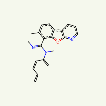 C=C/C=C\C(=C)N(C)/C(=N/C)c1c(C)ccc2c1oc1ncccc12